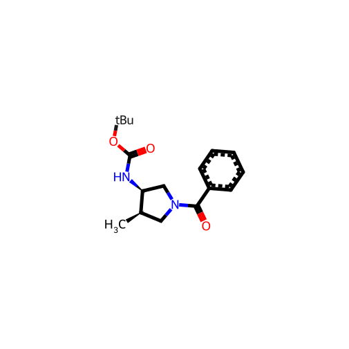 C[C@@H]1CN(C(=O)c2ccccc2)C[C@@H]1NC(=O)OC(C)(C)C